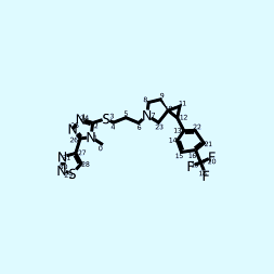 Cn1c(SCCCN2CC[C@]3(CC3c3ccc(C(F)(F)F)cc3)C2)nnc1-c1csnn1